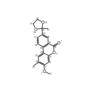 COc1cc2oc(=O)c3cc(C4(C)OCCO4)ccc3c2cc1C